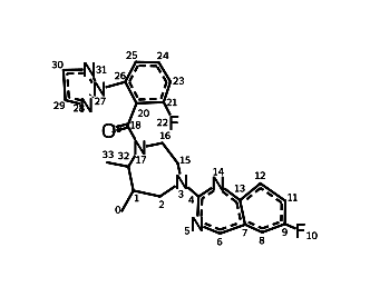 CC1CN(c2ncc3cc(F)ccc3n2)CCN(C(=O)c2c(F)cccc2-n2nccn2)C1C